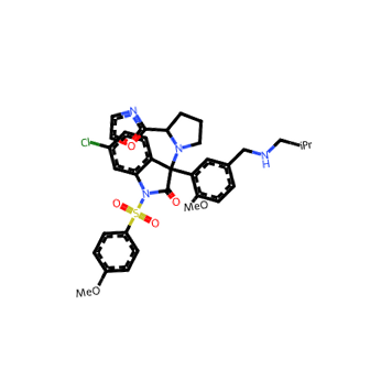 COc1ccc(S(=O)(=O)N2C(=O)C(c3cc(CNCC(C)C)ccc3OC)(N3CCCC3c3ncco3)c3ccc(Cl)cc32)cc1